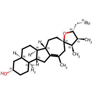 CC[C@@H](C)C[C@H]1O[C@]2(CC[C@@H]3C(=C(C)C2)C[C@H]2[C@H]3CC[C@@H]3C[C@@H](O)CC[C@@]32C)[C@H](C)[C@@H]1C